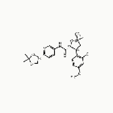 CC1(C)OC[C@@H](c2ccc(NC(=O)[C@@H]3O[C@@](C)(C(F)(F)F)C[C@H]3c3ccc(OC(F)(F)F)cc3Cl)cn2)O1